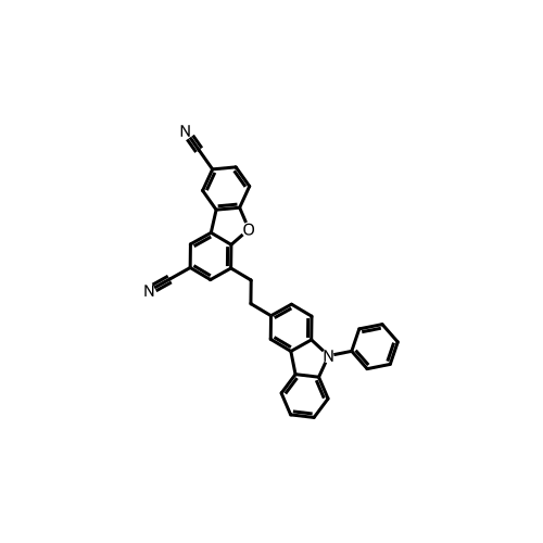 N#Cc1ccc2oc3c(CCc4ccc5c(c4)c4ccccc4n5-c4ccccc4)cc(C#N)cc3c2c1